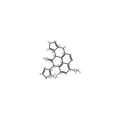 Cc1cc(C)c2ccc3c4c2c1C(C1=CCC=C1)C(=O)C4C1=CCC=C1C3